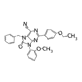 CCOc1ccc(-c2nc(C#N)c3c(n2)n(-c2ccccc2OC)c(=O)n3Cc2ccccc2)cc1